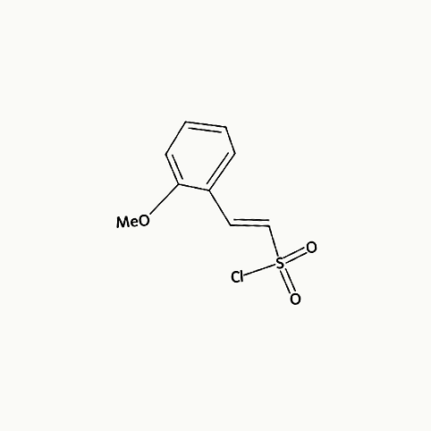 COc1ccccc1C=CS(=O)(=O)Cl